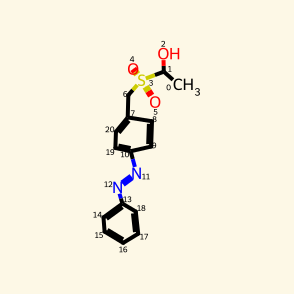 CC(O)S(=O)(=O)Cc1ccc(N=Nc2ccccc2)cc1